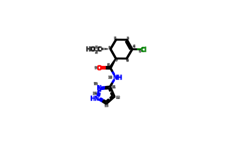 O=C(O)[C@@H]1CC=C(Cl)C[C@H]1C(=O)Nc1cc[nH]n1